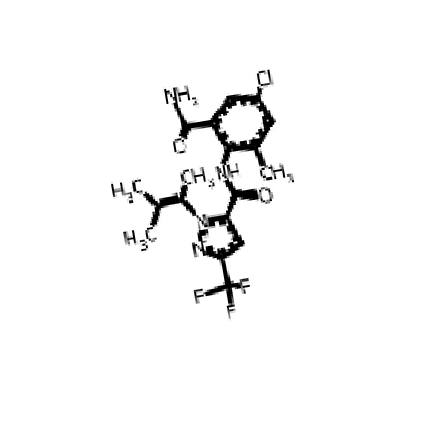 CC(C)=C(C)n1nc(C(F)(F)F)cc1C(=O)Nc1c(C)cc(Cl)cc1C(N)=O